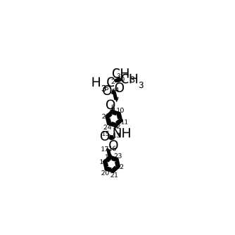 CC(C)(C)OC(=O)COc1ccc(NC(=O)OCc2ccccc2)cc1